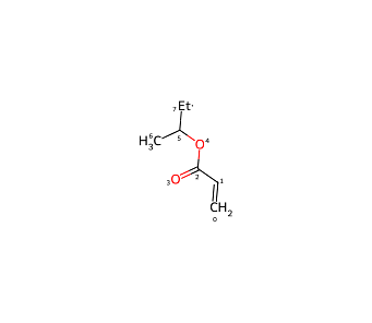 C=CC(=O)OC(C)[CH]C